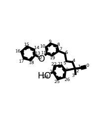 C#CC(C)(CCCc1cccc(Oc2ccccc2)c1)c1ccc(O)cc1